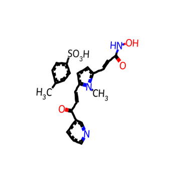 Cc1ccc(S(=O)(=O)O)cc1.Cn1c(/C=C/C(=O)NO)ccc1/C=C/C(=O)c1cccnc1